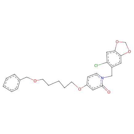 O=c1cc(OCCCCCOCc2ccccc2)ccn1Cc1cc2c(cc1Cl)OCO2